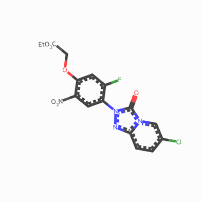 CCOC(=O)COc1cc(F)c(-n2nc3ccc(Cl)cn3c2=O)cc1[N+](=O)[O-]